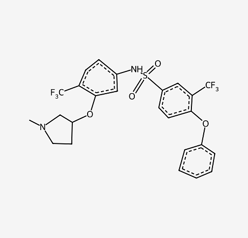 CN1CCC(Oc2cc(NS(=O)(=O)c3ccc(Oc4ccccc4)c(C(F)(F)F)c3)ccc2C(F)(F)F)C1